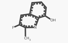 Cc1nc2c(O)cccc2cc1F